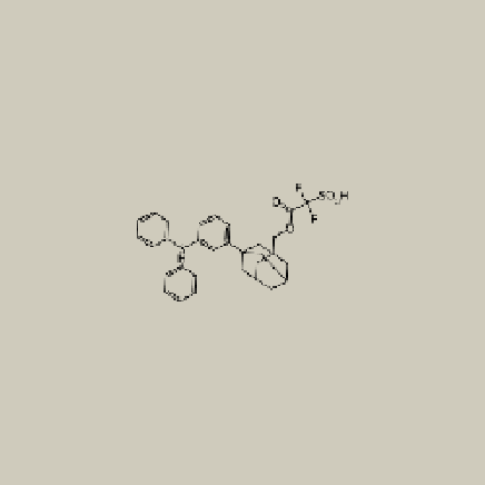 O=C(OCC12CC3CC(C1)CC(c1cccc([SH](c4ccccc4)c4ccccc4)c1)(C3)C2)C(F)(F)S(=O)(=O)O